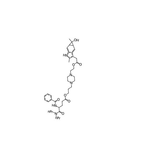 CCCN(CCC)C(=O)C(CCC(=O)OCCCN1CCN(CCOC(=O)Cc2c(C)[nH]c3c2=CC2C(C=3)C2(C)O)CC1)NC(=O)c1ccccc1